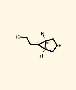 OCC[C@H]1[C@H]2CNC[C@@H]12